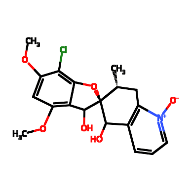 COc1cc(OC)c2c(c1Cl)O[C@@]1(C(O)c3ccc[n+]([O-])c3C[C@H]1C)C2O